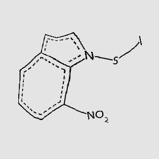 O=[N+]([O-])c1cccc2ccn(SI)c12